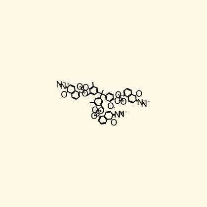 COc1cc(C(C)(c2cc(C)c(OS(=O)(=O)c3cccc4c3C=CC(=[N+]=[N-])C4=O)c(C)c2)c2cc(C)c(OS(=O)(=O)c3cccc4c3C=CC(=[N+]=[N-])C4=O)c(C)c2)ccc1OS(=O)(=O)c1cccc2c1C=CC(=[N+]=[N-])C2=O